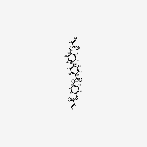 C=CC(=O)Sc1ccc(OC(=O)c2ccc(-c3ccc(SC(=O)C=C)cc3)cc2)cc1